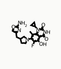 Cc1c(N2CCC(Cc3coc(N)n3)C2)c(F)c(O)c2c(=O)[nH]c(=O)n(C3CC3)c12